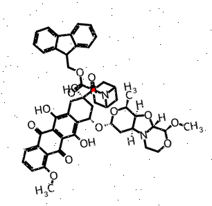 COc1cccc2c1C(=O)c1c(O)c3c(c(O)c1C2=O)C[C@@](O)(C(=O)N1C2CC1CN(C(=O)OCC1c4ccccc4-c4ccccc41)C2)C[C@@H]3O[C@H]1C[C@H]2[C@H](O[C@@H]3[C@@H](OC)OCCN32)[C@H](C)O1